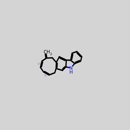 C=C1/C=C\C=C/Cc2cc3[nH]c4ccccc4c3cc2C1